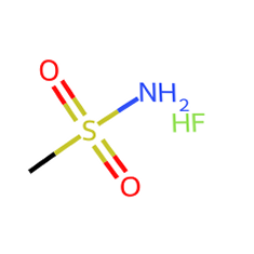 CS(N)(=O)=O.F